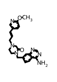 COc1ccc(/C=C/CN2CCN(Cc3ccc4c(N)ncnc4c3)C(=O)C2)cn1